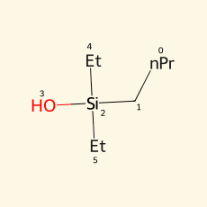 CCCC[Si](O)(CC)CC